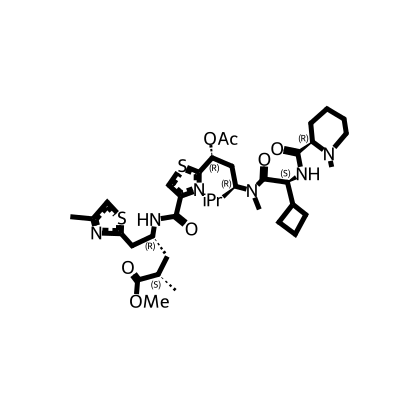 COC(=O)[C@@H](C)C[C@H](Cc1nc(C)cs1)NC(=O)c1csc([C@@H](C[C@H](C(C)C)N(C)C(=O)[C@@H](NC(=O)[C@H]2CCCCN2C)C2CCC2)OC(C)=O)n1